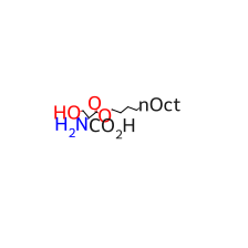 CCCCCCCCCCCCOC(=O)C(N)(CO)C(=O)O